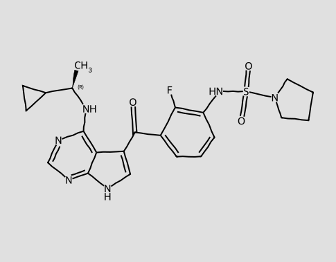 C[C@@H](Nc1ncnc2[nH]cc(C(=O)c3cccc(NS(=O)(=O)N4CCCC4)c3F)c12)C1CC1